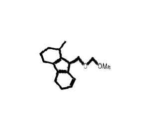 COCOCC1C2=C(CCC=C2)C2=C1C(C)CCC2